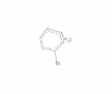 CCc1ccccc1.O